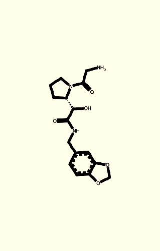 NCC(=O)N1CCC[C@H]1C(O)C(=O)NCc1ccc2c(c1)OCO2